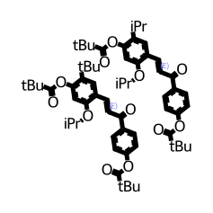 CC(C)Oc1cc(OC(=O)C(C)(C)C)c(C(C)(C)C)cc1/C=C/C(=O)c1ccc(OC(=O)C(C)(C)C)cc1.CC(C)Oc1cc(OC(=O)C(C)(C)C)c(C(C)C)cc1/C=C/C(=O)c1ccc(OC(=O)C(C)(C)C)cc1